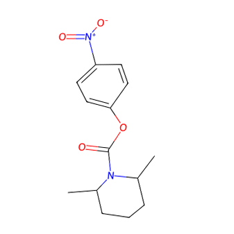 CC1CCCC(C)N1C(=O)Oc1ccc([N+](=O)[O-])cc1